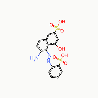 Nc1ccc2cc(S(=O)(=O)O)cc(O)c2c1/N=N/c1ccccc1S(=O)(=O)O